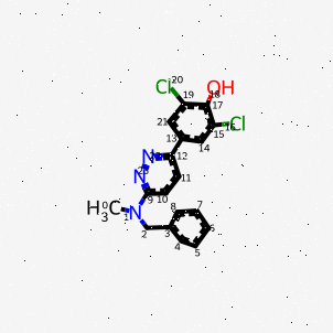 CN(Cc1ccccc1)c1ccc(-c2cc(Cl)c(O)c(Cl)c2)nn1